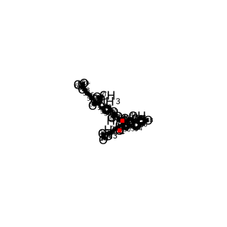 CC(=O)N[C@@H](Cc1ccc(OC(=O)OCC(=O)[C@@]2(OC(=O)CCCO[N+](=O)[O-])[C@H](C)CC3C4CCC5=CC(=O)C=C[C@]5(C)[C@@]4(F)[C@@H](O)C[C@@]32C)cc1)C(=O)OCCCCO[N+](=O)[O-]